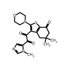 Cn1cncc1C(=O)C(=O)c1c(N2CCOCC2)sc2c1CC(C)(C)CC2=O